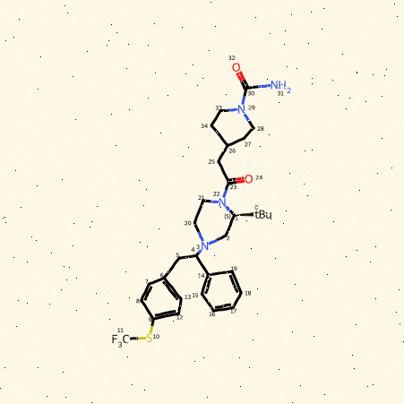 CC(C)(C)[C@H]1CN(C(Cc2ccc(SC(F)(F)F)cc2)c2ccccc2)CCN1C(=O)CC1CCN(C(N)=O)CC1